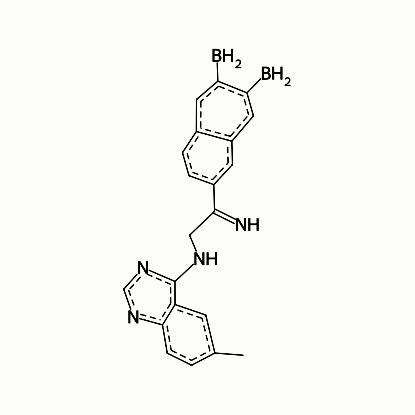 Bc1cc2ccc(C(=N)CNc3ncnc4ccc(C)cc34)cc2cc1B